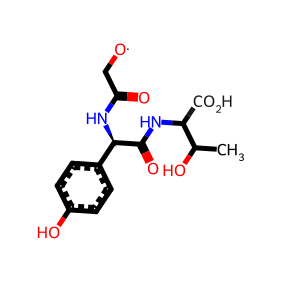 CC(O)C(NC(=O)[C@H](NC(=O)C[O])c1ccc(O)cc1)C(=O)O